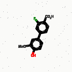 COc1cc(-c2ccc(C(=O)O)c(F)c2)ccc1O